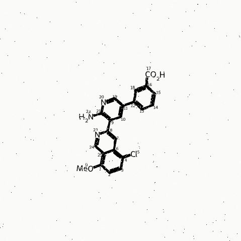 COc1ccc(Cl)c2cc(-c3cc(-c4cccc(C(=O)O)c4)cnc3N)ncc12